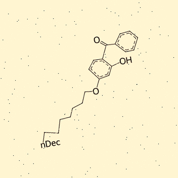 CCCCCCCCCCCCCCCCCOc1ccc(C(=O)c2ccccc2)c(O)c1